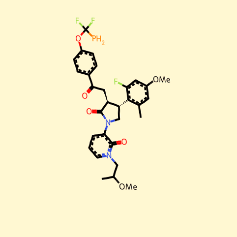 COc1cc(C)c([C@@H]2CN(c3cccn(CC(C)OC)c3=O)C(=O)[C@H]2CC(=O)c2ccc(OC(F)(F)P)cc2)c(F)c1